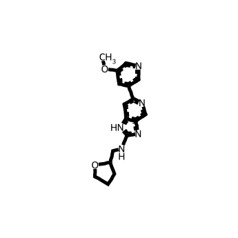 COc1cncc(-c2cc3[nH]c(NCC4CCCO4)nc3cn2)c1